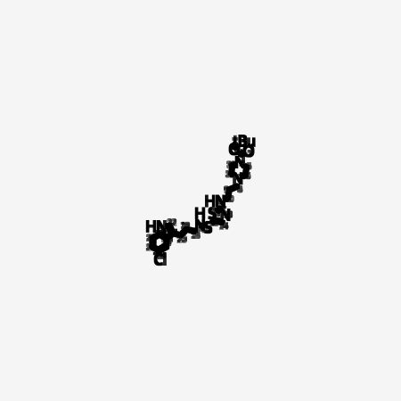 CC(C)(C)OC(=O)N1CCN(CCCNc2ncc(SNCCCc3c[nH]c4ccc(Cl)cc34)s2)CC1